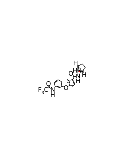 O=C(N[C@@H]1C[C@H]2CC[C@@H]1N2)c1ccc(Oc2cccc(NC(=O)C(F)(F)F)c2)s1